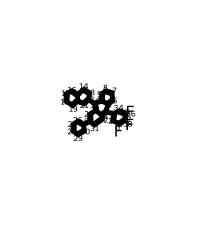 Fc1cc(-c2c3ccccc3c(-c3ccc4ccccc4c3)c3cc(-c4ccccc4)ccc23)cc(F)c1F